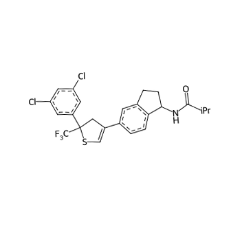 CC(C)C(=O)NC1CCc2cc(C3=CSC(c4cc(Cl)cc(Cl)c4)(C(F)(F)F)C3)ccc21